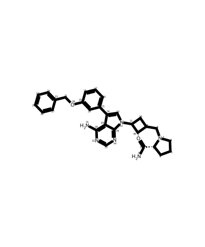 NC(=O)[C@H]1CCCN1CC1CC(n2cc(-c3cccc(OCc4ccccc4)c3)c3c(N)ncnc32)C1